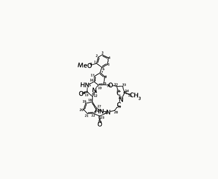 COc1ccccc1-c1cc2c3nc(c(=O)[nH]c3c1)-c1cccc3c(=O)n([nH]c13)CCN1CC(C[C@H]1C)O2